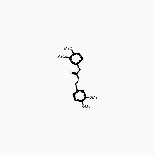 COc1ccc(COC(=O)Cc2ccc(OC)c(OC)c2)cc1OC